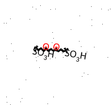 CC(C)(CCCC(=O)CCCC(=O)CCCC(C)(C)S(=O)(=O)O)S(=O)(=O)O